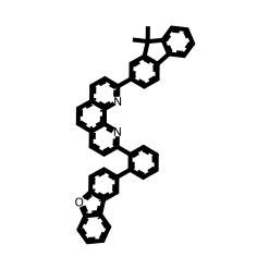 CC1(C)c2ccccc2-c2ccc(-c3ccc4ccc5ccc(-c6ccccc6-c6ccc7oc8ccccc8c7c6)nc5c4n3)cc21